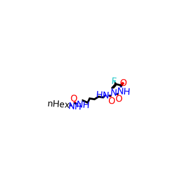 CCCCCCNC(=O)NCCCCCCNC(=O)n1cc(F)c(=O)[nH]c1=O